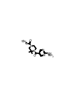 CC(C)(C)OC(=O)N1CCN(C(=O)c2cnc(NN)nc2)C(C)(C)C1